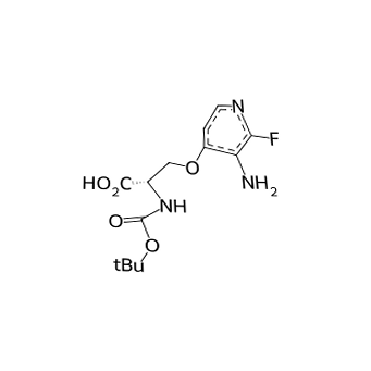 CC(C)(C)OC(=O)N[C@@H](COc1ccnc(F)c1N)C(=O)O